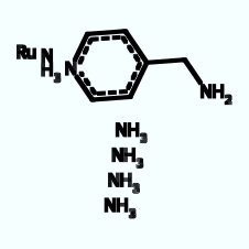 N.N.N.N.N.NCc1ccncc1.[Ru]